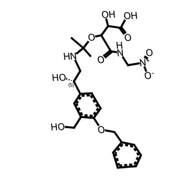 CC(C)(NC[C@@H](O)c1ccc(OCc2ccccc2)c(CO)c1)OC(C(=O)NC[N+](=O)[O-])C(O)C(=O)O